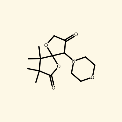 CC1(C)C(=O)OC2(OCC(=O)C2N2CCOCC2)C1(C)C